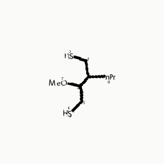 CCCC(CS)C(CS)OC